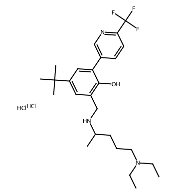 CCN(CC)CCCC(C)NCc1cc(C(C)(C)C)cc(-c2ccc(C(F)(F)F)nc2)c1O.Cl.Cl